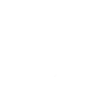 C=C(C)C(=O)OCCCCCCCCCCCCCC.C=CN1C=CC=CC1